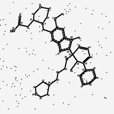 COc1cc2c(cc1CN1CCOCC1CC(=O)O)nc(C1(OCCCN3CCOCC3)C=CC=C(c3ccccc3)C1C)n2C